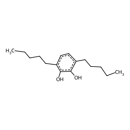 CCCCCc1ccc(CCCCC)c(O)c1O